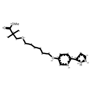 COC(=O)C(C)(C)COCCCCCCOc1ccc(-c2ccn[nH]2)nc1